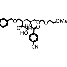 COCCOCOC[C@H](C[C@H](COCc1ccccc1)C(=O)NO)NC(=O)c1ccc(C#N)cc1